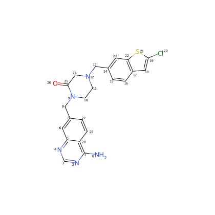 Nc1ncnc2cc(CN3CCN(Cc4ccc5cc(Cl)sc5c4)CC3=O)ccc12